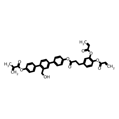 C=CC(=O)Oc1ccc(CCC(=O)Oc2ccc(-c3ccc(-c4ccc(OC(=O)C(=C)C)cc4)c(CO)c3)cc2)cc1OC(=O)C=C